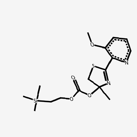 COc1cccnc1C1=NC(C)(OC(=O)OCC[Si](C)(C)C)CS1